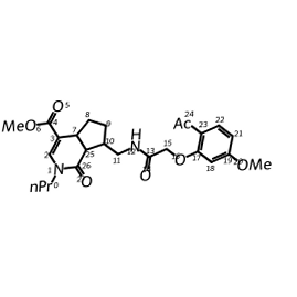 CCCN1C=C(C(=O)OC)C2CCC(CNC(=O)COc3cc(OC)ccc3C(C)=O)C2C1=O